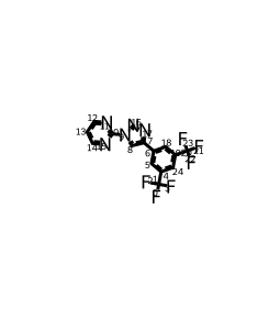 FC(F)(F)c1cc(-c2cn(-c3ncccn3)nn2)cc(C(F)(F)F)c1